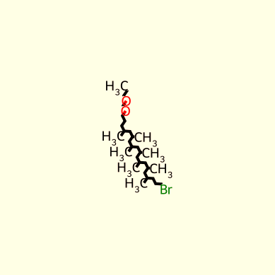 CCCOCOCCCC(C)CC(C)CC(C)CC(C)CC(C)CC(C)CC(C)CCCBr